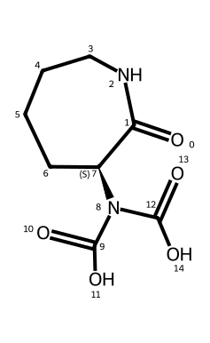 O=C1NCCCC[C@@H]1N(C(=O)O)C(=O)O